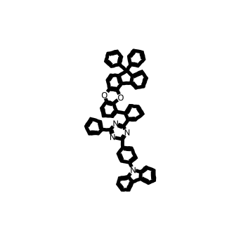 c1ccc(-c2nc(-c3ccc(-n4c5ccccc5c5ccccc54)cc3)nc(-c3ccccc3-c3cccc4c3Oc3c(ccc5c3-c3ccccc3C5(c3ccccc3)c3ccccc3)O4)n2)cc1